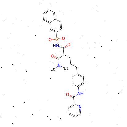 CCN(CC)C(=O)C(CCCc1ccc(NC(=O)c2ccccn2)cc1)C(=O)NS(=O)(=O)c1ccc2ccccc2c1